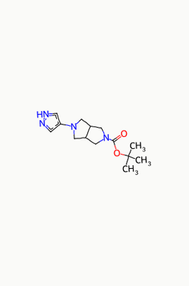 CC(C)(C)OC(=O)N1CC2CN(c3cn[nH]c3)CC2C1